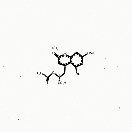 COc1cc(O)c2c(C[C@H](OC(=O)C(F)(F)F)C(=O)O)cc(=O)oc2c1.N